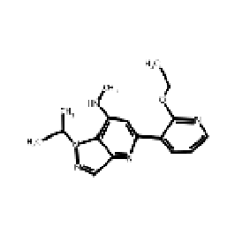 CCOc1ncccc1-c1cc(NC)c2c(cnn2C(C)C)n1